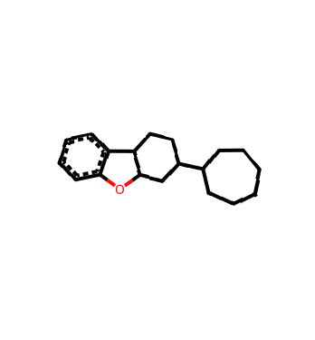 c1ccc2c(c1)OC1CC(C3CCCCCC3)CCC21